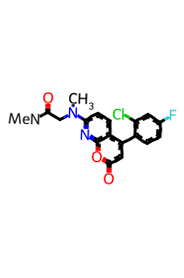 CNC(=O)CN(C)c1ccc2c(-c3ccc(F)cc3Cl)cc(=O)oc2n1